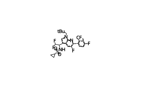 CC(C)(C)Cn1cc(C(NS(=O)(=O)C2CC2)C(F)F)c2cc(F)c(-c3ccc(F)cc3C(F)(F)F)nc21